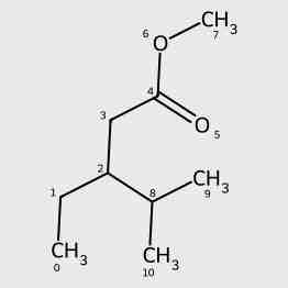 CCC(CC(=O)OC)C(C)C